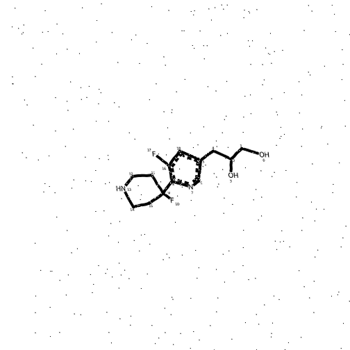 OCC(O)Cc1cnc(C2(F)CCNCC2)c(F)c1